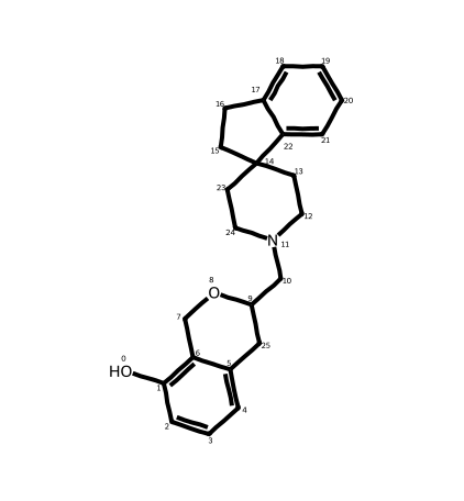 Oc1cccc2c1COC(CN1CCC3(CCc4ccccc43)CC1)C2